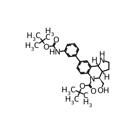 CC(C)(C)OC(=O)Nc1cccc(-c2ccc3c(c2)[C@@H]2NCC[C@@H]2[C@@H](CO)N3C(=O)OC(C)(C)C)c1